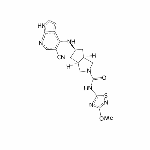 COc1nsc(NC(=O)N2C[C@H]3C[C@@H](Nc4c(C#N)cnc5[nH]ccc45)C[C@H]3C2)n1